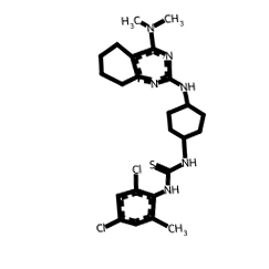 Cc1cc(Cl)cc(Cl)c1NC(=S)NC1CCC(Nc2nc3c(c(N(C)C)n2)CCCC3)CC1